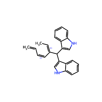 C=C/C=C\C(=C/C)C(c1c[nH]c2ccccc12)c1c[nH]c2ccccc12